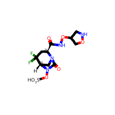 O=C(NOC1CNOC1)[C@@H]1CC(F)(F)[C@@H]2CN1C(=O)N2OS(=O)(=O)O